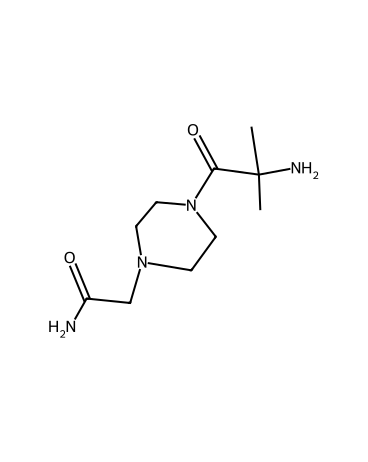 CC(C)(N)C(=O)N1CCN(CC(N)=O)CC1